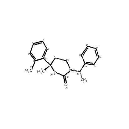 Cc1ccccc1[C@]1(C)CCN([C@@H](C)c2ccccc2)C(=O)O1